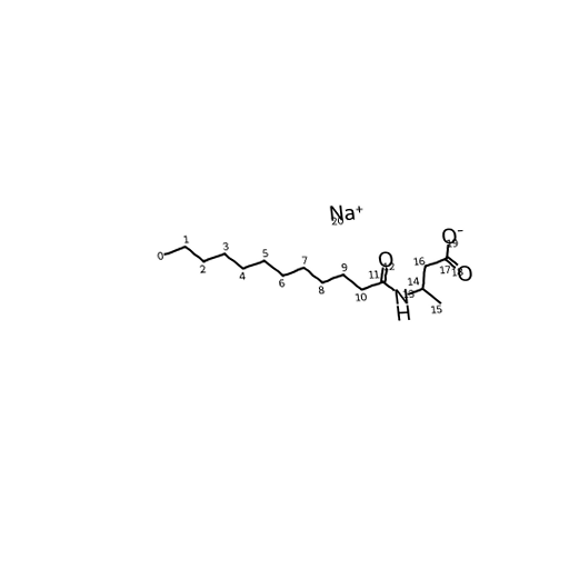 CCCCCCCCCCCC(=O)NC(C)CC(=O)[O-].[Na+]